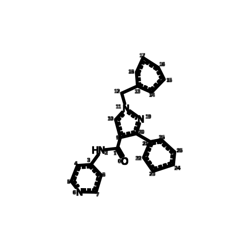 O=C(Nc1ccncc1)c1cn(Cc2ccccc2)nc1-c1ccccc1